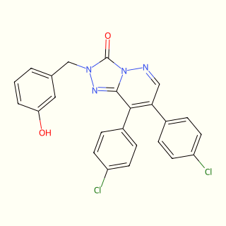 O=c1n(Cc2cccc(O)c2)nc2c(-c3ccc(Cl)cc3)c(-c3ccc(Cl)cc3)cnn12